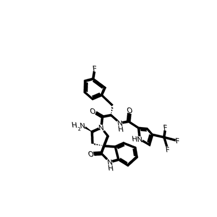 N[C@@H]1C[C@@]2(CN1C(=O)[C@H](Cc1cccc(F)c1)NC(=O)c1cc(C(F)(F)F)c[nH]1)C(=O)Nc1ccccc12